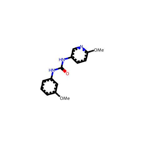 COc1cccc(NC(=O)Nc2ccc(OC)nc2)c1